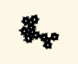 c1ccc(-n2c3ccccc3c3cc(-c4ccc5c(c4)-c4cc6c7ccccc7c7ccccc7c6cc4C54c5ccccc5-c5ccccc54)ccc32)cc1